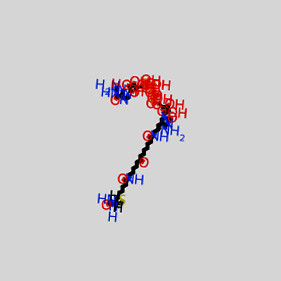 Nc1nc2c(ncn2[C@@H]2O[C@H](COP(=O)(O)OP(=O)(O)OP(=O)(O)OP(=O)(O)OC[C@H]3O[C@@H](n4cc(/C=C/CNC(=O)CCCCCCC(=O)CCCCCNC(=O)CCCC[C@H]5SC[C@H]6NC(=O)N[C@H]65)c(N)nc4=O)[C@@H](O)C3O)C(O)C2O)c(=O)[nH]1